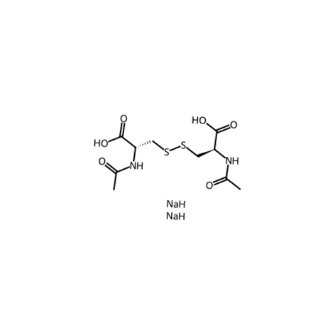 CC(=O)N[C@@H](CSSC[C@H](NC(C)=O)C(=O)O)C(=O)O.[NaH].[NaH]